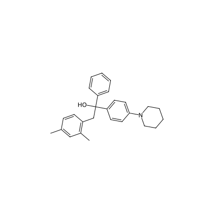 Cc1ccc(CC(O)(c2ccccc2)c2ccc(N3CCCCC3)cc2)c(C)c1